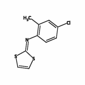 Cc1cc(Cl)ccc1N=c1sccs1